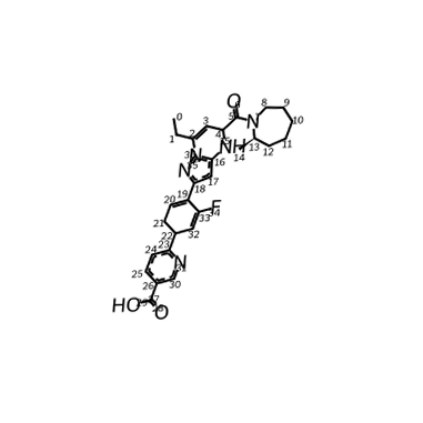 CCC1=CC(C(=O)N2CCCCC[C@H]2C)Nc2cc(C3=CCC(c4ccc(C(=O)O)cn4)C=C3F)nn21